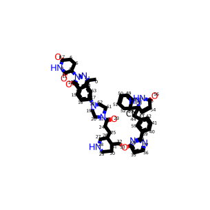 Cc1nn(C2CCC(=O)NC2=O)c(=O)c2ccc(N3CCN(C(=O)CCC4CNCCC4COc4ccnc(-c5cccc(CC6(C7(C#N)C=CC=CC7)C=CC(=O)NN6)c5)n4)CC3)cc12